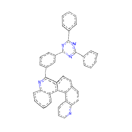 c1ccc(-c2nc(-c3ccccc3)nc(-c3cccc(-c4nc5ccccc5c5c4ccc4ccc6ncccc6c45)c3)n2)cc1